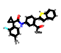 COC(=O)c1cc(NC(=O)C2(c3ccc(C(F)(F)F)cc3F)CC2)ccc1-c1cc2ccccc2s1